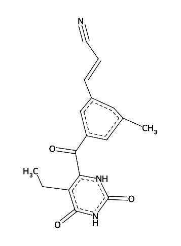 CCc1c(C(=O)c2cc(C)cc(/C=C/C#N)c2)[nH]c(=O)[nH]c1=O